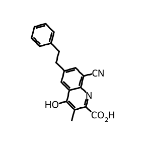 Cc1c(C(=O)O)nc2c(C#N)cc(CCc3ccccc3)cc2c1O